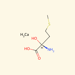 CSCC[C@@](N)(O)C(=O)O.[CaH2]